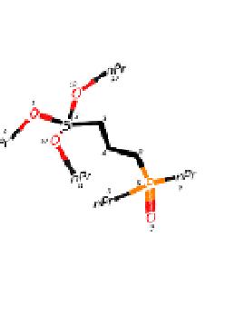 CCCO[Si](CCCP(=O)(CCC)CCC)(OCCC)OCCC